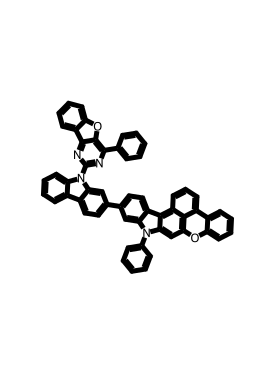 c1ccc(-c2nc(-n3c4ccccc4c4ccc(-c5ccc6c7c8cccc9c8c(cc7n(-c7ccccc7)c6c5)Oc5ccccc5-9)cc43)nc3c2oc2ccccc23)cc1